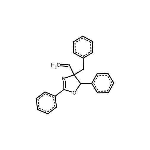 C=CC1(Cc2ccccc2)N=C(c2ccccc2)OC1c1ccccc1